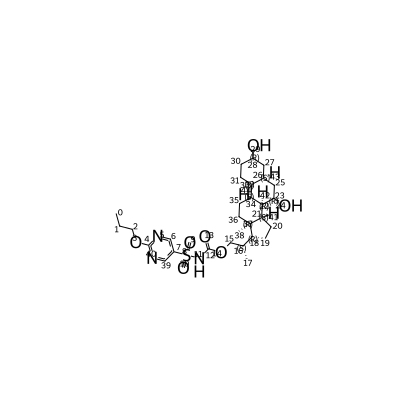 CCCOc1ncc(S(=O)(=O)NC(=O)OC[C@@H](C)[C@H]2CC[C@H]3[C@@H]4[C@H](O)C[C@@H]5C[C@H](O)CC[C@]5(C)[C@H]4CC[C@]23C)cn1